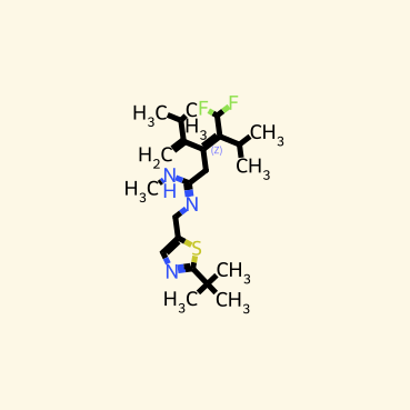 C=C(/C(CC(=NCc1cnc(C(C)(C)C)s1)NC)=C(/C(C)C)C(F)F)C(C)C